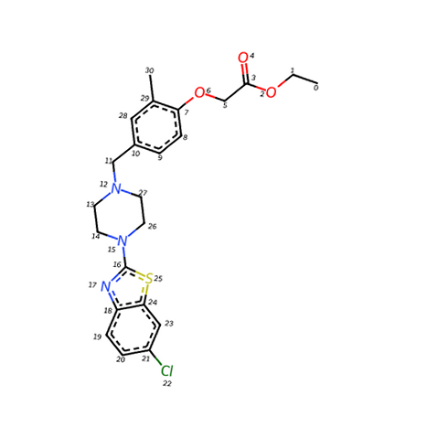 CCOC(=O)COc1ccc(CN2CCN(c3nc4ccc(Cl)cc4s3)CC2)cc1C